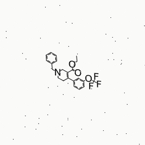 CCOC(=O)C1=C(c2cccc(OC(F)(F)F)c2)CCN(Cc2ccccc2)C1